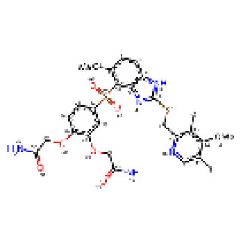 COc1ccc2[nH]c(SCc3ncc(C)c(OC)c3C)nc2c1S(=O)(=O)c1ccc(OCC(N)=O)c(OCC(N)=O)c1